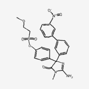 COCCS(=O)(=O)Oc1ccc(C2(c3cccc(-c4cccc([N+](=O)[O-])c4)c3)N=C(N)N(C)C2=O)cc1